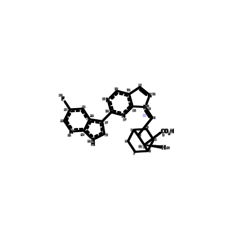 O=C(O)[C@@H]1C2CCC(CC2)C1/C=[N+]1/N=Cc2cnc(-c3c[nH]c4ncc(F)cc34)nc21